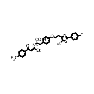 CCC(=CC(=O)c1ccc(C(F)(F)F)cc1)N[C@@H](Cc1ccc(OCCc2nc(-c3ccc(F)cc3)sc2CC)cc1)C(=O)O